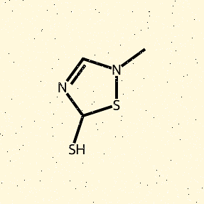 CN1C=NC(S)S1